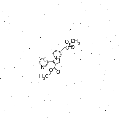 CCOC(=O)c1cc2cc(COS(C)(=O)=O)ccn2c1-c1cccnc1